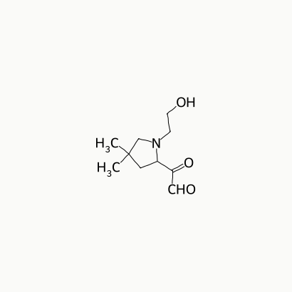 CC1(C)CC(C(=O)C=O)N(CCO)C1